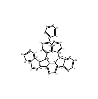 c1ccc(-c2ccc(-n3c4c5ccccc5ccc4c4ccc5c6ccccc6n(-c6ccccc6)c5c43)cc2)cc1